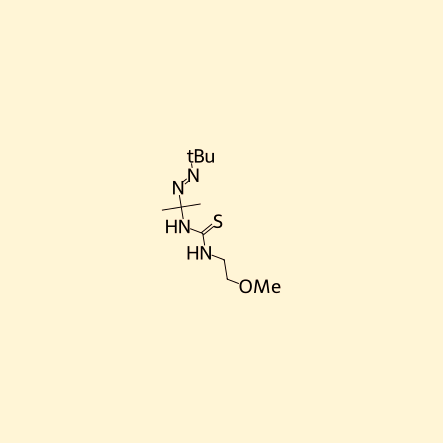 COCCNC(=S)NC(C)(C)N=NC(C)(C)C